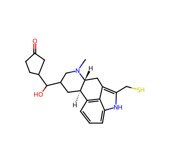 CN1CC(C(O)C2CCC(=O)C2)C[C@@H]2c3cccc4[nH]c(CS)c(c34)C[C@H]21